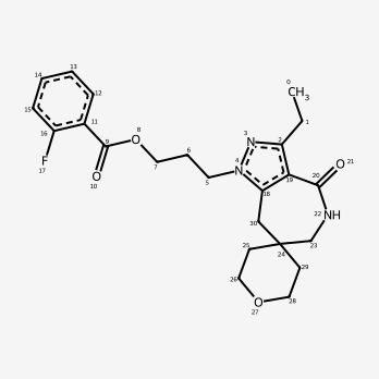 CCc1nn(CCCOC(=O)c2ccccc2F)c2c1C(=O)NCC1(CCOCC1)C2